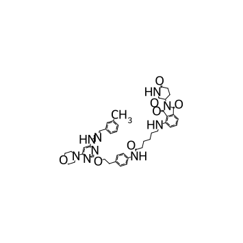 Cc1cccc(/C=N/Nc2cc(N3CCOCC3)nc(OCCc3ccc(NC(=O)CCCCCNc4cccc5c4C(=O)N(C4CCC(=O)NC4=O)C5=O)cc3)n2)c1